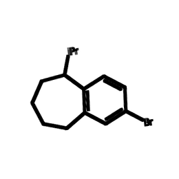 CC(C)C1CCCCc2cc(Br)ccc21